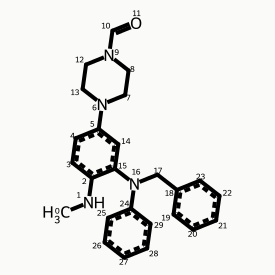 CNc1ccc(N2CCN(C=O)CC2)cc1N(Cc1ccccc1)c1ccccc1